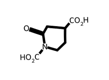 O=C(O)C1CCN(C(=O)O)C(=O)C1